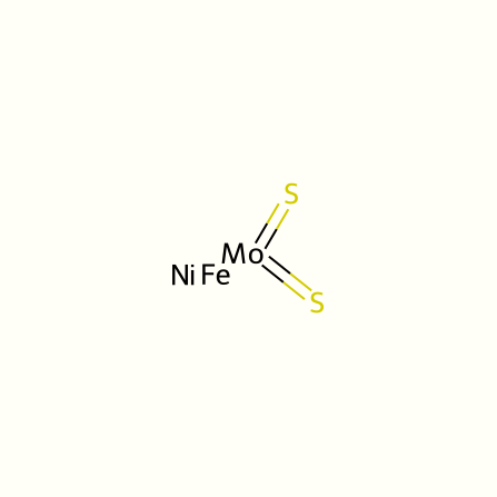 [Fe].[Ni].[S]=[Mo]=[S]